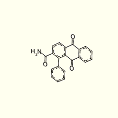 NC(=O)c1ccc2c(c1-c1ccccc1)C(=O)c1ccccc1C2=O